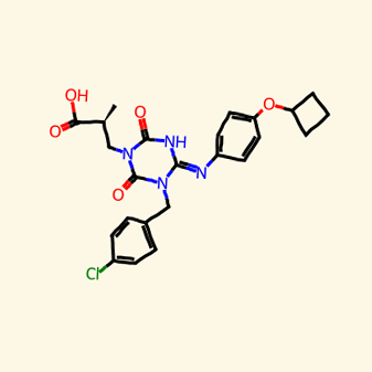 C[C@@H](Cn1c(=O)[nH]/c(=N\c2ccc(OC3CCC3)cc2)n(Cc2ccc(Cl)cc2)c1=O)C(=O)O